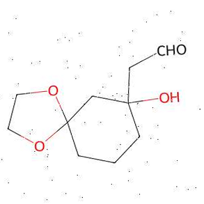 O=CCC1(O)CCCC2(C1)OCCO2